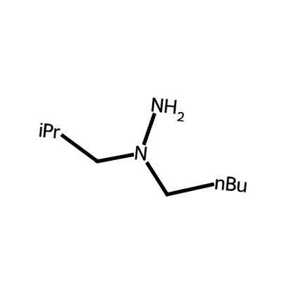 CCCCCN(N)CC(C)C